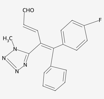 Cn1nnnc1C(/C=C/C=O)=C(\c1ccccc1)c1ccc(F)cc1